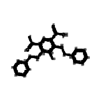 CC(=O)c1cc(C(=O)O)c(OCc2ccccc2)c(C)c1OCc1ccccc1